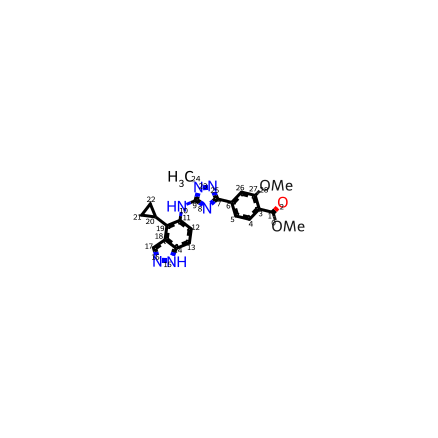 COC(=O)c1ccc(-c2nc(Nc3ccc4[nH]ncc4c3C3CC3)n(C)n2)cc1OC